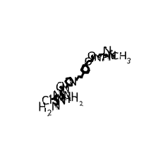 Cn1cnc(CNC(=O)COc2ccc(CCCN3CCCC(NC(=O)c4nc(Cl)c(N)nc4N)C3)cc2)c1